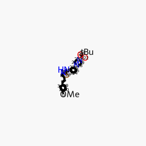 COc1ccc(C=Cc2cnc(Nc3cccc(N4CCN(C(=O)OC(C)(C)C)CC4)c3)s2)cc1